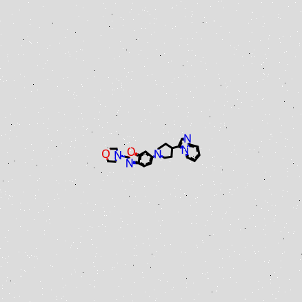 c1ccn2c(C3CCN(c4ccc5nc(N6CCOCC6)oc5c4)CC3)cnc2c1